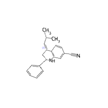 CC(C)/C=C1/CC(c2ccccc2)Nc2cc(C#N)ccc21